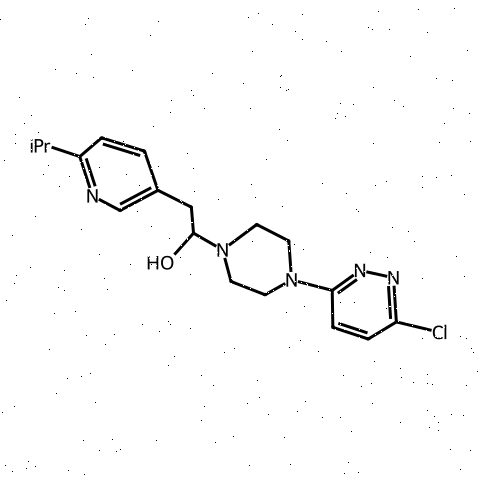 CC(C)c1ccc(CC(O)N2CCN(c3ccc(Cl)nn3)CC2)cn1